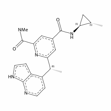 CNC(=O)c1cc(C(=O)N[C@H]2C[C@@H]2C)cc([C@H](C)c2ccnc3[nH]ccc23)n1